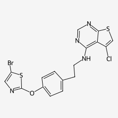 Clc1csc2ncnc(NCCc3ccc(Oc4ncc(Br)s4)cc3)c12